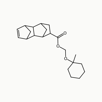 CC1(OCOC(=O)C2CC3CC2C2C4C=CC(C4)C32)CCCCC1